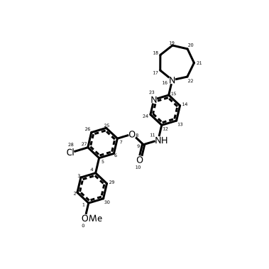 COc1ccc(-c2cc(OC(=O)Nc3ccc(N4CCCCCC4)nc3)ccc2Cl)cc1